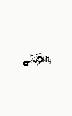 CC1(C)CN(CC(=O)OCc2ccccc2)C(=O)CC(C)(N)C1